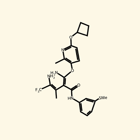 CSc1cccc(NC(=O)C(=C(/N)Oc2ccc(OC3CCC3)nc2C)/C(C)=C(\N)C(F)(F)F)c1